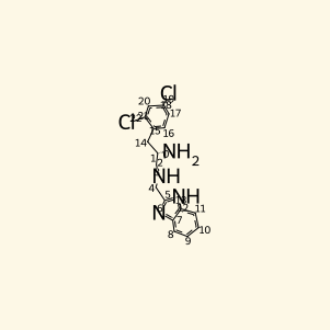 N[C@H](CNCc1nc2ccccc2[nH]1)Cc1ccc(Cl)cc1Cl